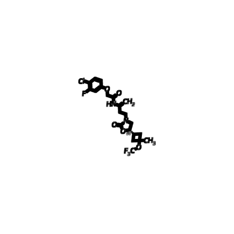 C=C(CCN1C[C@H](C2CC(C)(OC(F)(F)F)C2)OC1=O)NC(=O)COc1ccc(Cl)c(F)c1